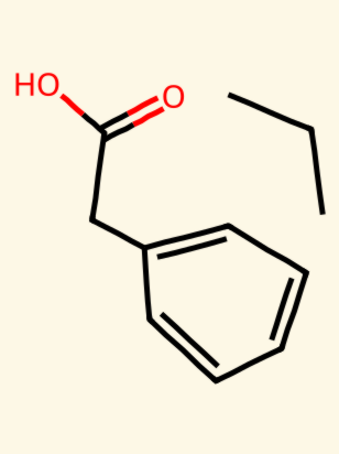 CCC.O=C(O)Cc1ccccc1